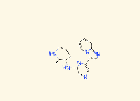 C[C@H]1NCCC[C@@H]1Nc1cncc(-c2cnc3ccccn23)n1